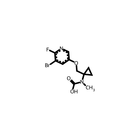 CN(C(=O)O)C1(COc2cnc(F)c(Br)c2)CC1